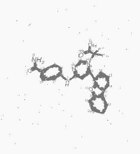 NC(=O)c1ccc(Nc2cc(-c3cccc4c3oc3ccccc34)ncn2)cc1.O=C(O)C(F)(F)F